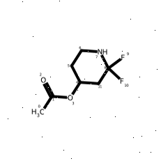 CC(=O)OC1CCNC(F)(F)C1